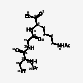 CCC(=O)[C@H](CCCCNC(C)=O)NC(=O)CNC(=O)[C@H](CC(C)C)NC(C)C